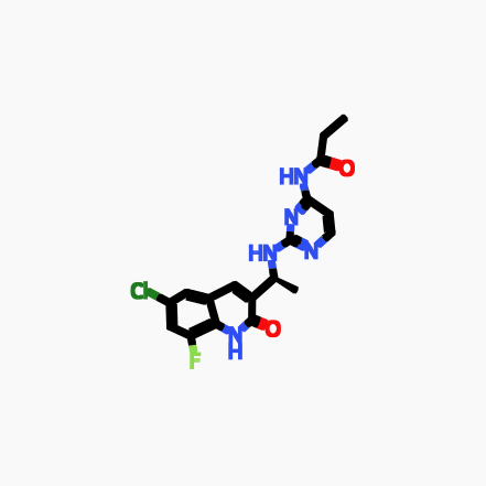 CCC(=O)Nc1ccnc(N[C@@H](C)c2cc3cc(Cl)cc(F)c3[nH]c2=O)n1